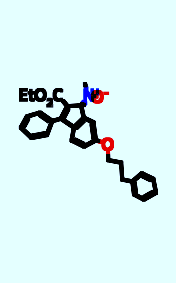 CCOC(=O)C1=C(c2ccccc2)c2ccc(OCCCc3ccccc3)cc2/C1=[N+](/C)[O-]